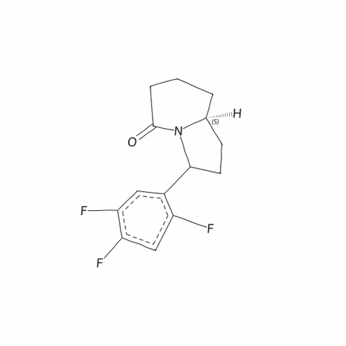 O=C1CCC[C@H]2CCC(c3cc(F)c(F)cc3F)N12